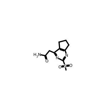 CS(=O)(=O)c1nc2c(c(CC(N)=O)n1)CCC2